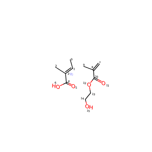 C/C=C(\C)C(=O)O.C=C(C)C(=O)OCCO